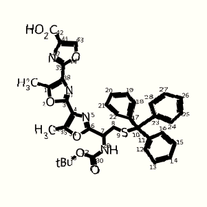 Cc1oc(-c2nc(C(CSC(c3ccccc3)(c3ccccc3)c3ccccc3)NC(=O)OC(C)(C)C)oc2C)nc1-c1nc(C(=O)O)co1